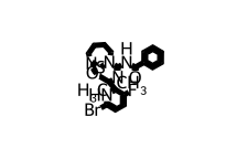 CC1([C@]2(C)C[S@@]3(=O)=NCCCCN3C(NC(=O)c3ccccc3)=N2)NC(Br)=CC=C1F